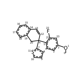 COc1ccc(C2(c3cccs3)C=Cc3ccccc3C2)c(F)c1